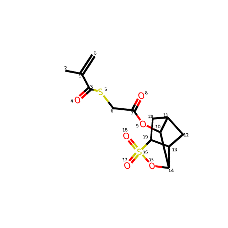 C=C(C)C(=O)SCC(=O)OC1C2CC3C1OS(=O)(=O)C3C2